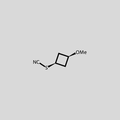 CO[C@H]1C[C@@H](SC#N)C1